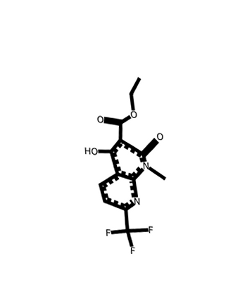 CCOC(=O)c1c(O)c2ccc(C(F)(F)F)nc2n(C)c1=O